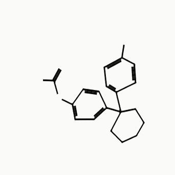 O=C(O)Oc1ccc(C2(c3ccc(O)cc3)CCCCC2)cc1